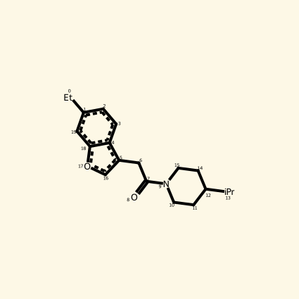 CCc1ccc2c(CC(=O)N3CCC(C(C)C)CC3)coc2c1